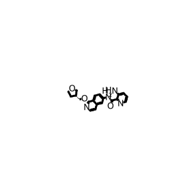 Nc1cccnc1C(=O)Nc1ccc2c(OC[C@@H]3CCOC3)nccc2c1